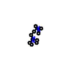 c1ccc(-n2c3ccccc3n3c4ccccc4c(-c4ccc(-c5cccc(-c6cc(-c7cccc8ccccc78)nc(-c7cccc8ccccc78)n6)c5)cc4)c23)cc1